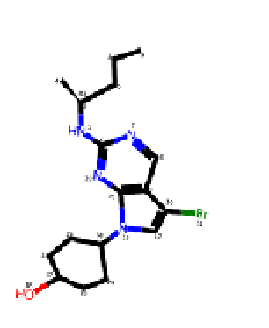 CCC[C@H](C)Nc1ncc2c(Br)cn(C3CCC(O)CC3)c2n1